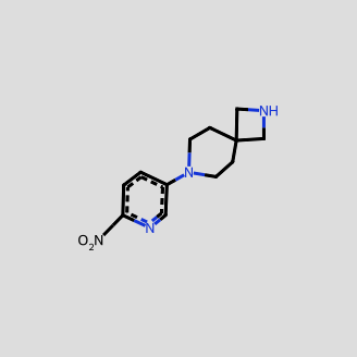 O=[N+]([O-])c1ccc(N2CCC3(CC2)CNC3)cn1